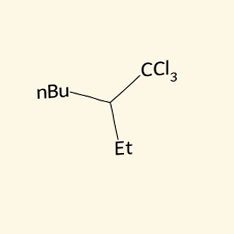 CCCCC(CC)C(Cl)(Cl)Cl